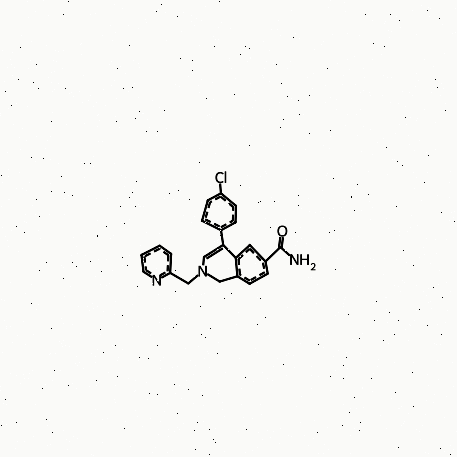 NC(=O)c1ccc2c(c1)C(c1ccc(Cl)cc1)=CN(Cc1ccccn1)C2